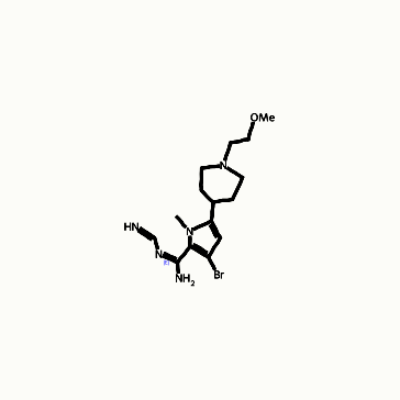 COCCN1CCC(c2cc(Br)c(/C(N)=N\C=N)n2C)CC1